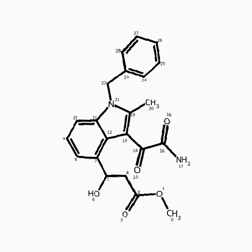 COC(=O)CC(O)c1cccc2c1c(C(=O)C(N)=O)c(C)n2Cc1ccccc1